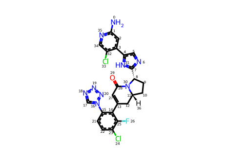 Nc1cc(-c2cnc([C@@H]3CC[C@@H]4CC(c5c(-n6cnnn6)ccc(Cl)c5F)=CC(=O)N43)[nH]2)c(Cl)cn1